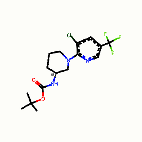 CC(C)(C)OC(=O)N[C@H]1CCCN(c2ncc(C(F)(F)F)cc2Cl)C1